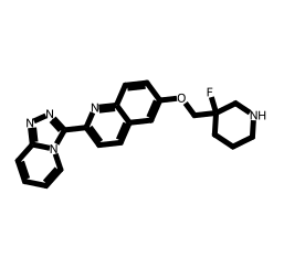 FC1(COc2ccc3nc(-c4nnc5ccccn45)ccc3c2)CCCNC1